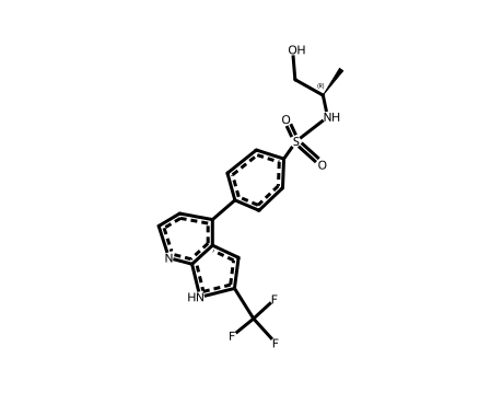 C[C@H](CO)NS(=O)(=O)c1ccc(-c2ccnc3[nH]c(C(F)(F)F)cc23)cc1